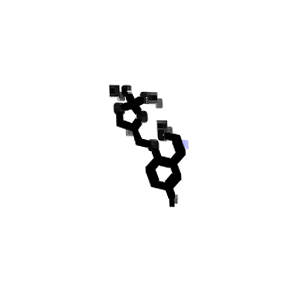 C/C=C\c1cc(F)ccc1OC[C@H]1COC(C)(C)O1